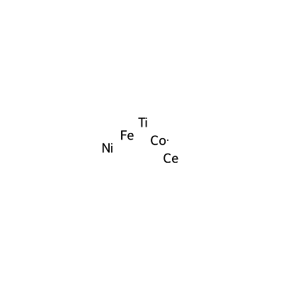 [Ce].[Co].[Fe].[Ni].[Ti]